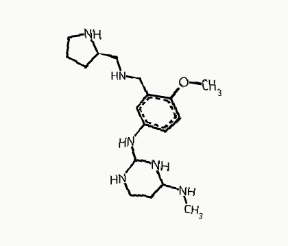 CNC1CCNC(Nc2ccc(OC)c(CNC[C@H]3CCCN3)c2)N1